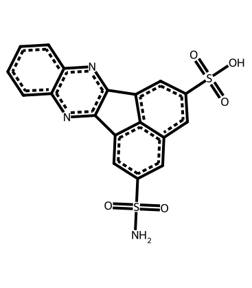 NS(=O)(=O)c1cc2c3c(cc(S(=O)(=O)O)cc3c1)-c1nc3ccccc3nc1-2